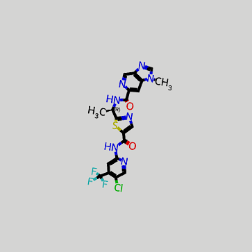 C[C@@H](NC(=O)c1cc2c(cn1)ncn2C)c1ncc(C(=O)Nc2cc(C(F)(F)F)c(Cl)cn2)s1